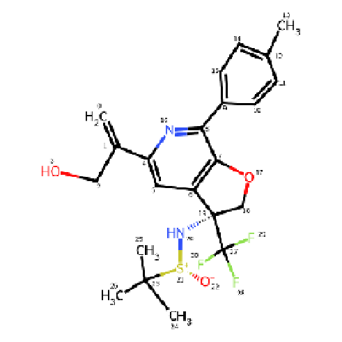 C=C(CO)c1cc2c(c(-c3ccc(C)cc3)n1)OC[C@@]2(N[S@+]([O-])C(C)(C)C)C(F)(F)F